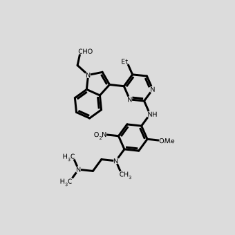 CCc1cnc(Nc2cc([N+](=O)[O-])c(N(C)CCN(C)C)cc2OC)nc1-c1cn(CC=O)c2ccccc12